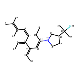 C/C=C(/C=C\C(C)=C(C)C)C(=C\C)\C=C(/CC)N1CCC(C(C)(C)F)C1